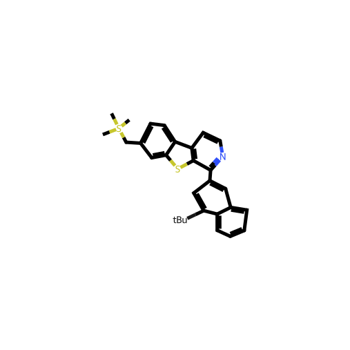 CC(C)(C)c1cc(-c2nccc3c2sc2cc(CS(C)(C)C)ccc23)cc2ccccc12